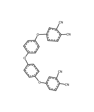 N#Cc1ccc(Oc2ccc(Oc3ccc(Oc4ccc(C#N)c(C#N)c4)cc3)cc2)cc1C#N